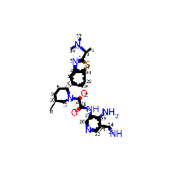 CC(c1nc2cc([C@H]3CC[C@H](C)CN3C(=O)C(=O)Nc3cncc(C=N)c3N)ccc2s1)N(C)C